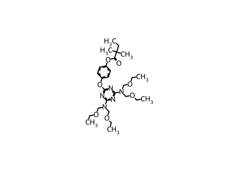 CCOCN(COCC)c1nc(Oc2ccc(OC(=O)C(C)(C)CC)cc2)nc(N(COCC)COCC)n1